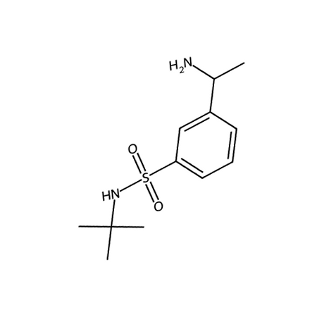 CC(N)c1cccc(S(=O)(=O)NC(C)(C)C)c1